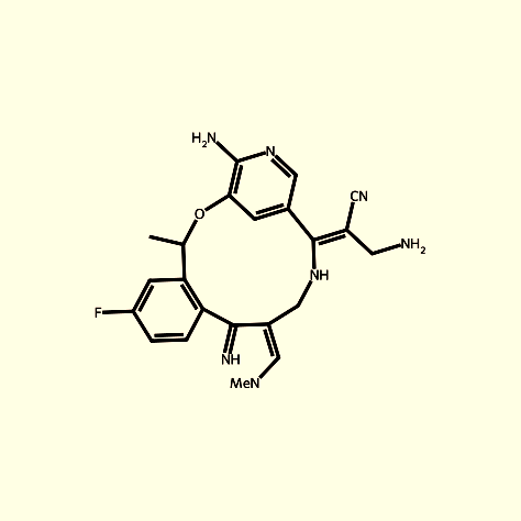 CN/C=C1/CN/C(=C(/C#N)CN)c2cnc(N)c(c2)OC(C)c2cc(F)ccc2C1=N